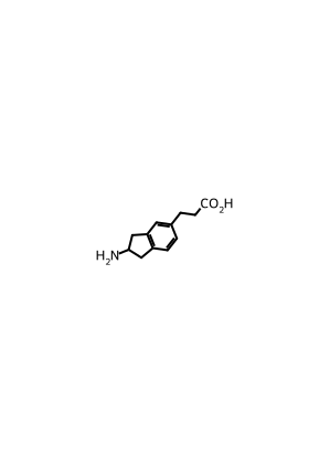 NC1Cc2ccc(CCC(=O)O)cc2C1